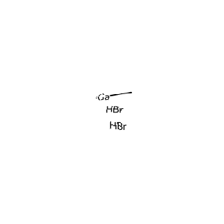 Br.Br.[CH3][Ga]